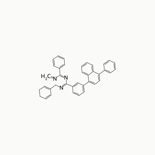 C=N/C(=N\C(=N/CC1=CCCC=C1)c1cccc(-c2ccc(-c3ccccc3)c3ccccc23)c1)c1ccccc1